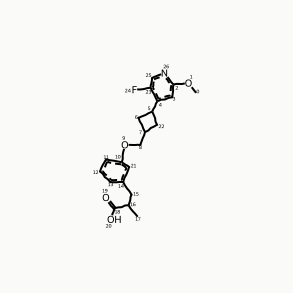 COc1cc(C2CC(COc3cccc(CC(C)C(=O)O)c3)C2)c(F)cn1